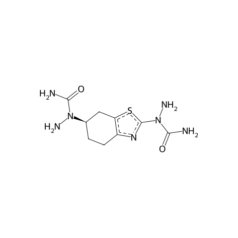 NC(=O)N(N)c1nc2c(s1)C[C@H](N(N)C(N)=O)CC2